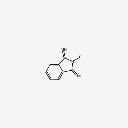 N=C1c2ccccc2C(=N)N1F